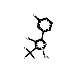 Cn1nc(-c2cccc(F)c2)c(Cl)c1C(F)(F)F